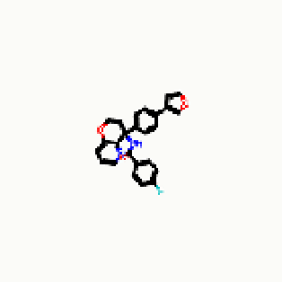 O=C(NC1(c2ccc(-c3ccoc3)cc2)CCOc2cccnc21)c1ccc(F)cc1